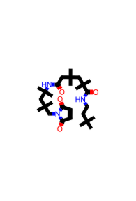 CC(C)(C)CCNC(=O)C(C)(C)CC(C)(C)CC(=O)NC(C)(C)CC(C)(C)CN1C(=O)C=CC1=O